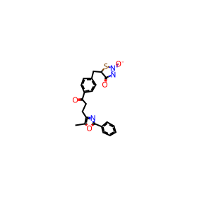 Cc1oc(-c2ccccc2)nc1CCC(=O)c1ccc(CC2S[N+]([O-])=NC2=O)cc1